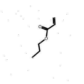 C=CC(=O)OCCC